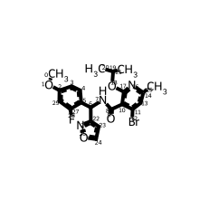 COc1ccc(C(NC(=O)c2c(Br)cc(C)nc2OC(C)C)c2ccon2)c(F)c1